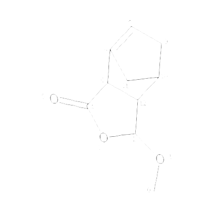 COC1OC(=O)C2C3=CCC(C3)C12